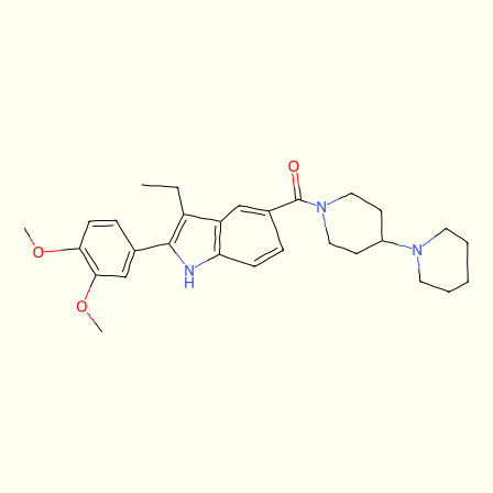 CCc1c(-c2ccc(OC)c(OC)c2)[nH]c2ccc(C(=O)N3CCC(N4CCCCC4)CC3)cc12